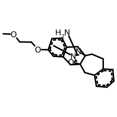 COCCOc1ccc2c(c1)CC13Cc4ccccc4CCC1(C2)N=C(N)N(C)CO3